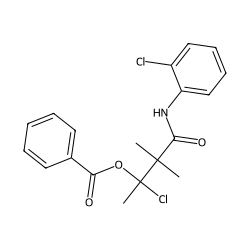 CC(Cl)(OC(=O)c1ccccc1)C(C)(C)C(=O)Nc1ccccc1Cl